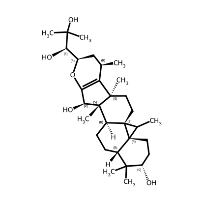 CC1[C@@]23CC[C@]4(C)C5=C(O[C@@H]([C@@H](O)C(C)(C)O)C[C@H]5C)[C@H](O)[C@@]4(C)[C@@H]2CC[C@H]2C(C)(C)[C@@H](O)CC[C@@]123